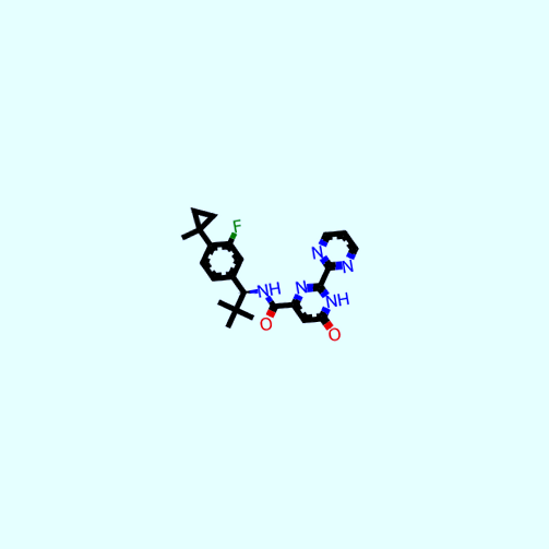 CC1(c2ccc([C@@H](NC(=O)c3cc(=O)[nH]c(-c4ncccn4)n3)C(C)(C)C)cc2F)CC1